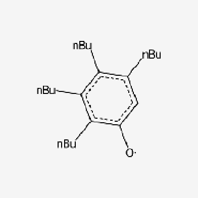 CCCCc1cc([O])c(CCCC)c(CCCC)c1CCCC